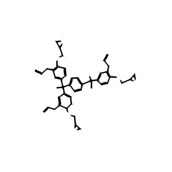 C=CCC1=CC(C(C)(c2ccc(C(C)(C)c3ccc(OCC4CO4)c(CC=C)c3)cc2)c2ccc(OCC3CO3)c(CC=C)c2)=CCC1OCC1CO1